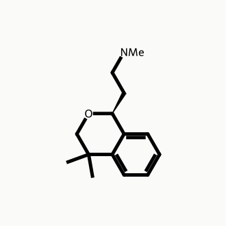 CNCC[C@@H]1OCC(C)(C)c2ccccc21